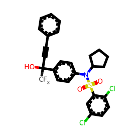 O=S(=O)(c1cc(Cl)ccc1Cl)N(c1ccc(C(O)(C#Cc2ccccc2)C(F)(F)F)cc1)C1CCCC1